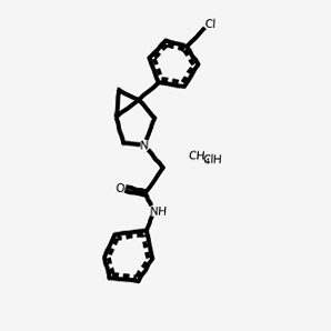 C.Cl.O=C(CN1CC2CC2(c2ccc(Cl)cc2)C1)Nc1ccccc1